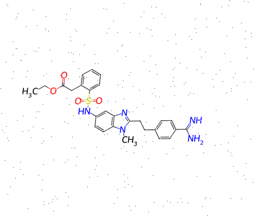 CCOC(=O)Cc1ccccc1S(=O)(=O)Nc1ccc2c(c1)nc(CCc1ccc(C(=N)N)cc1)n2C